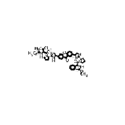 COC(=O)N[C@H](C(=O)N1CCC[C@H]1C1=NCC(c2ccc3c(=O)c4cc(C5CN=C([C@@H]6CCCN6C(=O)[C@H](NC(=O)OC)c6ccccc6)N5)ccc4oc3c2)N1)C(C)C